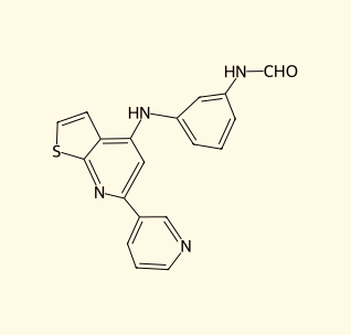 O=CNc1cccc(Nc2cc(-c3cccnc3)nc3sccc23)c1